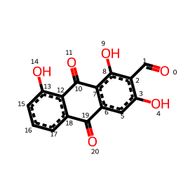 O=Cc1c(O)cc2c(c1O)C(=O)c1c(O)cccc1C2=O